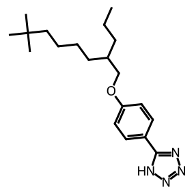 CCCC(CCCCC(C)(C)C)COc1ccc(-c2nnn[nH]2)cc1